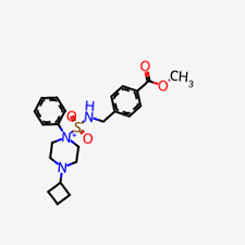 COC(=O)c1ccc(CNS(=O)(=O)[N+]2(c3ccccc3)CCN(C3CCC3)CC2)cc1